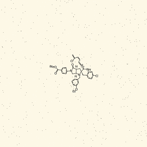 C=C(Cl)/C=C\C=C(/F)[C@H]1[C@@H]2C(=O)N(c3ccc(C(=O)OC)cc3)C[C@@H]2N(Cc2cccc(OCC)c2)[C@]12Cc1ccc(Cl)cc1NC2=O